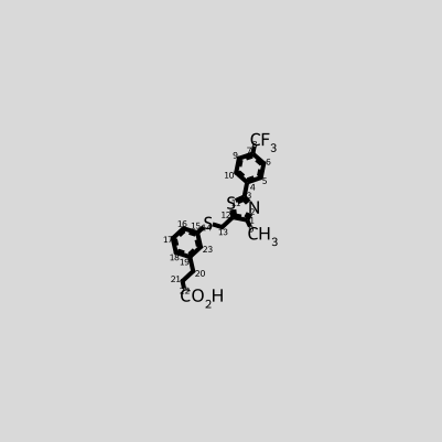 Cc1nc(-c2ccc(C(F)(F)F)cc2)sc1CSc1cccc(CCC(=O)O)c1